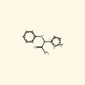 NC(=O)C(Oc1ccccc1)c1cc[nH]n1